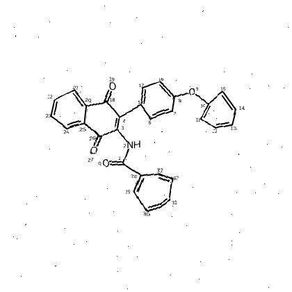 O=C(NC1=C(c2ccc(Oc3ccccc3)cc2)C(=O)c2ccccc2C1=O)c1ccccc1